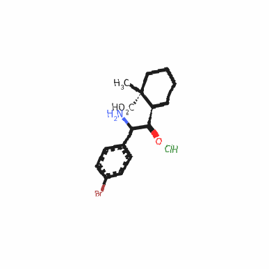 C[C@@]1(C(=O)O)CCCC[C@H]1C(=O)C(N)c1ccc(Br)cc1.Cl